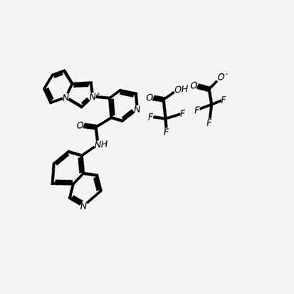 O=C(Nc1cccc2cnccc12)c1cnccc1-[n+]1cc2ccccn2c1.O=C(O)C(F)(F)F.O=C([O-])C(F)(F)F